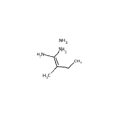 CCC(C)=C(N)N.N